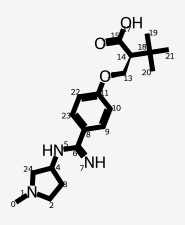 CN1CCC(NC(=N)c2ccc(OC[C@@H](C(=O)O)C(C)(C)C)cc2)C1